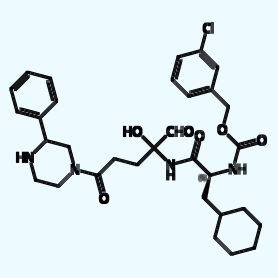 O=CC(O)(CCC(=O)N1CCNC(c2ccccc2)C1)NC(=O)[C@H](CC1CCCCC1)NC(=O)OCc1cccc(Cl)c1